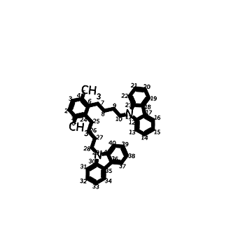 Cc1ccc(C)c(CCCCn2c3ccccc3c3ccccc32)c1CCCCn1c2ccccc2c2ccccc21